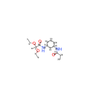 CCOC(C)(OCC)C(=O)Nc1cccc(NC(=O)CC)c1